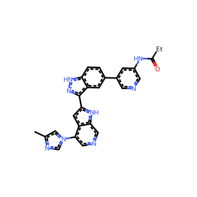 CCC(=O)Nc1cncc(-c2ccc3[nH]nc(-c4cc5c(-n6cnc(C)c6)cncc5[nH]4)c3c2)c1